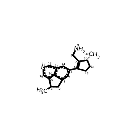 CC1Cc2cc(C3=C(CN)[C@H](C)CC3)cc3cncc1c23